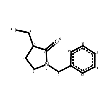 O=C1C(CI)CCN1Cc1ccccc1